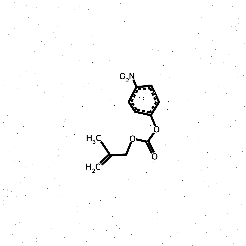 C=C(C)COC(=O)Oc1ccc([N+](=O)[O-])cc1